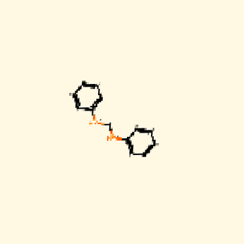 c1ccc(PCPc2ccccc2)cc1